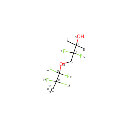 CC(C)(O)C(F)(F)COC(F)(F)C(F)(F)C(F)(F)F